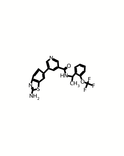 CC(NC(=O)c1cncc(-c2ccc3nc(N)sc3c2)c1)c1ccccc1OC(F)(F)F